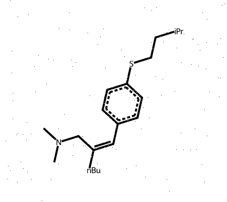 CCCCC(=Cc1ccc(SCCC(C)C)cc1)CN(C)C